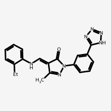 CCc1ccccc1NC=C1C(=O)N(c2cccc(-c3nnn[nH]3)c2)N=C1C